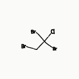 ClC(Br)(Br)CBr